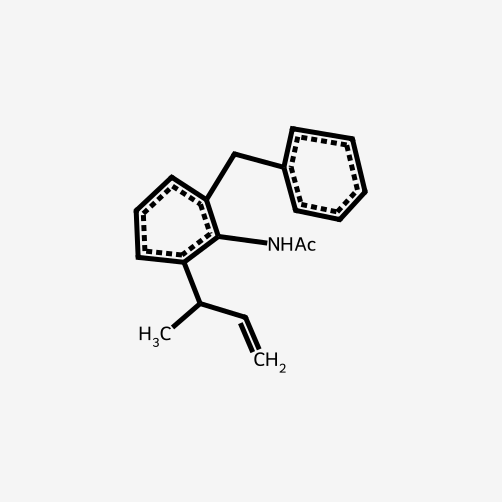 C=CC(C)c1cccc(Cc2ccccc2)c1NC(C)=O